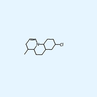 CC1CC=CN2C1CCC1CC(Cl)CCC12